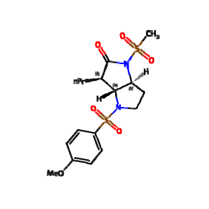 CCC[C@H]1C(=O)N(S(C)(=O)=O)[C@H]2CCN(S(=O)(=O)c3ccc(OC)cc3)[C@H]12